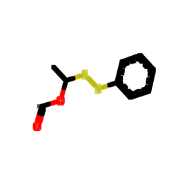 CC(O[C]=O)SSc1ccccc1